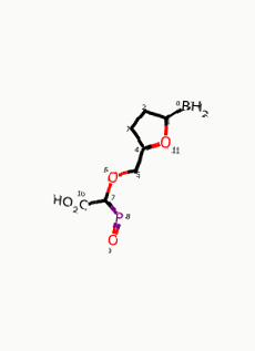 BC1CCC(COC(P=O)C(=O)O)O1